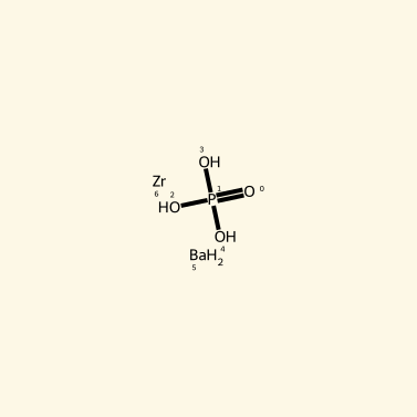 O=P(O)(O)O.[BaH2].[Zr]